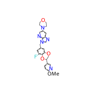 COc1ccc(C2COc3cc(Cn4cnc5cc(N6CCOCC6)cnc54)cc(F)c3O2)cn1